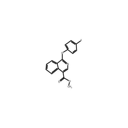 COC(=O)c1cnc(Oc2ccc(F)cc2)c2ccccc12